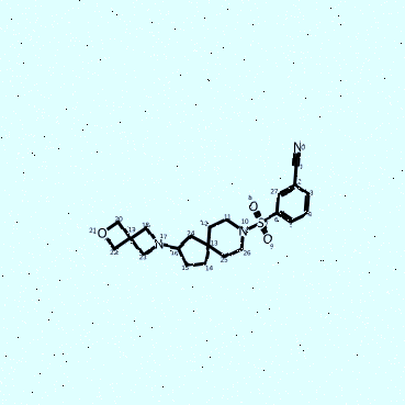 N#Cc1cccc(S(=O)(=O)N2CCC3(CCC(N4CC5(COC5)C4)C3)CC2)c1